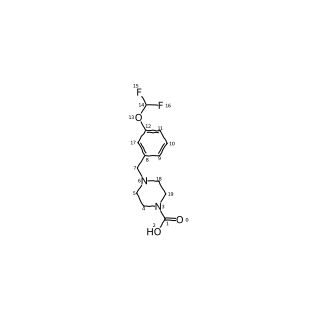 O=C(O)N1CCN(Cc2cccc(OC(F)F)c2)CC1